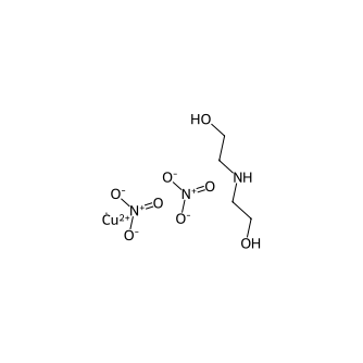 O=[N+]([O-])[O-].O=[N+]([O-])[O-].OCCNCCO.[Cu+2]